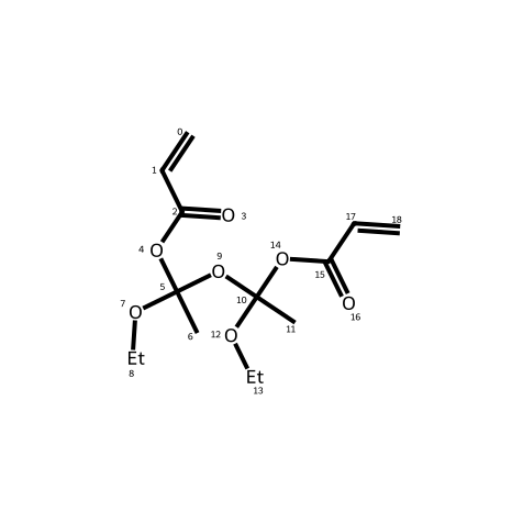 C=CC(=O)OC(C)(OCC)OC(C)(OCC)OC(=O)C=C